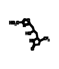 O=C1CC(C(F)(F)F)C(CC(O)Cc2nc(C(=O)O)co2)N1